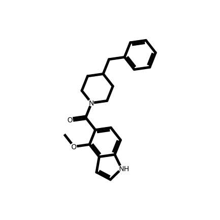 COc1c(C(=O)N2CCC(Cc3ccccc3)CC2)ccc2[nH]ccc12